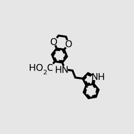 O=C(O)c1cc2c(cc1NCCc1c[nH]c3ccccc13)OCCO2